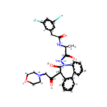 C[C@H](NC(=O)Cc1cc(F)cc(F)c1)C(=O)NN1C(=O)C(C(=O)CN2CCOCC2)c2ccccc2-c2ccccc21